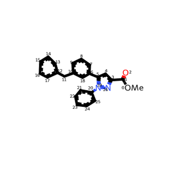 COC(=O)c1cc(-c2cccc(Cc3ccccc3)c2)n(-c2ccccc2)n1